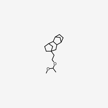 COC(C)OCCC12CCC(C1)C1C3CCC(C3)C1C2